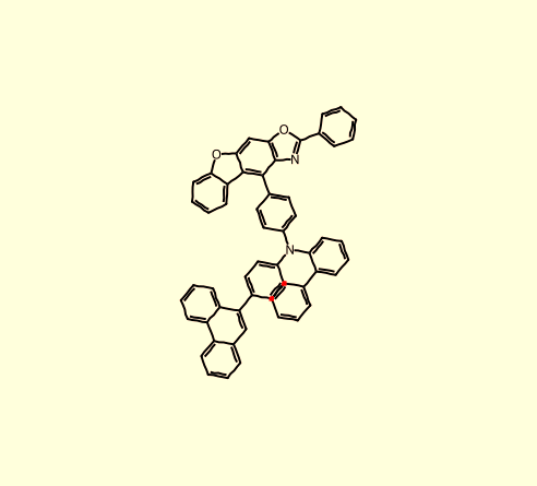 c1ccc(-c2nc3c(-c4ccc(N(c5ccc(-c6cc7ccccc7c7ccccc67)cc5)c5ccccc5-c5ccccc5)cc4)c4c(cc3o2)oc2ccccc24)cc1